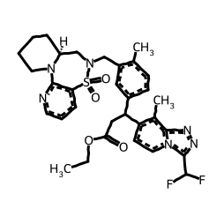 CCOC(=O)CC(c1ccc(C)c(CN2C[C@@H]3CCCCN3c3ncccc3S2(=O)=O)c1)c1ccn2c(C(F)F)nnc2c1C